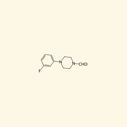 O=[C]N1CCN(c2cccc(F)c2)CC1